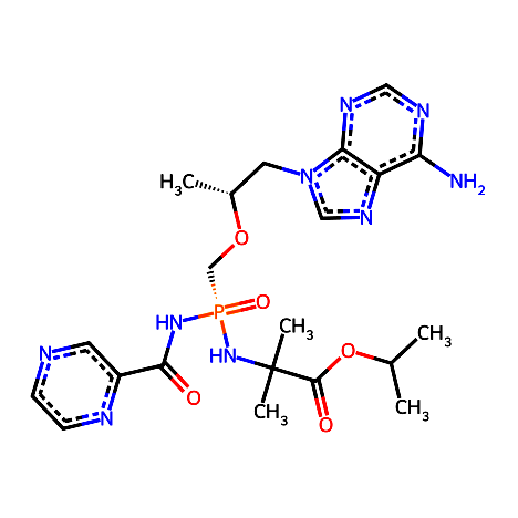 CC(C)OC(=O)C(C)(C)N[P@@](=O)(CO[C@H](C)Cn1cnc2c(N)ncnc21)NC(=O)c1cnccn1